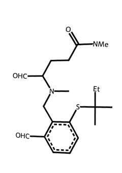 CCC(C)(C)Sc1cccc(C=O)c1CN(C)C(C=O)CCC(=O)NC